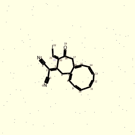 N#CC(C#N)=C1Cc2ccccccccc2CC(=O)/C1=C\I